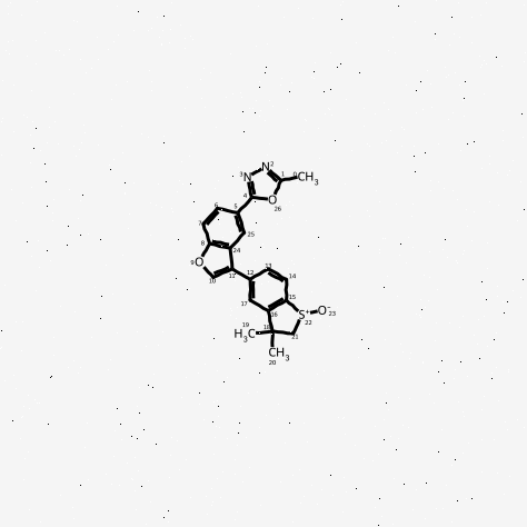 Cc1nnc(-c2ccc3occ(-c4ccc5c(c4)C(C)(C)C[S+]5[O-])c3c2)o1